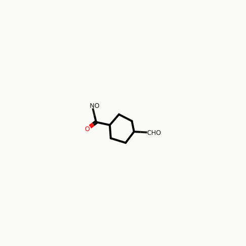 O=CC1CCC(C(=O)N=O)CC1